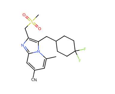 Cc1cc(C#N)cc2nc(CS(C)(=O)=O)c(CC3CCC(F)(F)CC3)n12